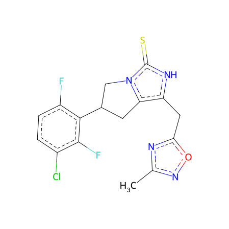 Cc1noc(Cc2[nH]c(=S)n3c2CC(c2c(F)ccc(Cl)c2F)C3)n1